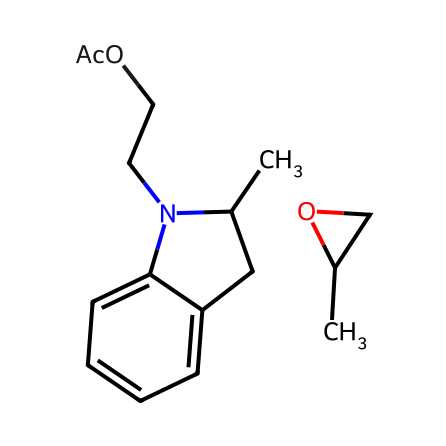 CC(=O)OCCN1c2ccccc2CC1C.CC1CO1